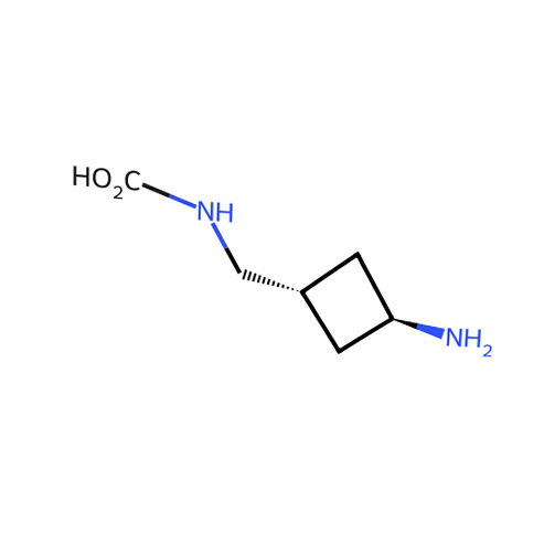 N[C@H]1C[C@H](CNC(=O)O)C1